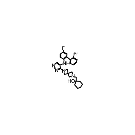 CC(C)c1ccccc1-c1cc(F)ccc1Nc1cncnc1N1CC2(CN(CC3(O)CCCCC3)C2)C1